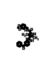 Cc1[nH]c(C(=O)NCc2ccc3c(c2)OCO3)c(C)c1-c1nc2cc(C(=O)c3ccccc3)ccc2[nH]1